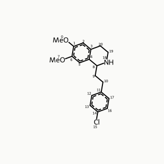 COc1cc2c(cc1OC)C(CCc1ccc(Cl)cc1)NCC2